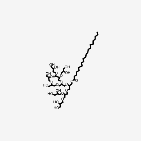 CCCCCCCCCCCCCCCCCCCCCC(=O)OCC(COCC(COCC(O)CO)OCC(O)CO)OCC(COCC(CO)OCC(O)CO)OCC(COCC(O)CO)OCC(O)CO